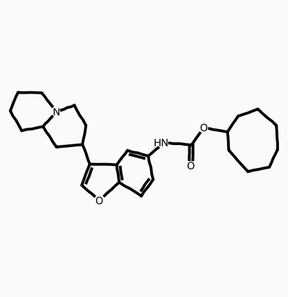 O=C(Nc1ccc2occ(C3CCN4CCCCC4C3)c2c1)OC1CCCCCCC1